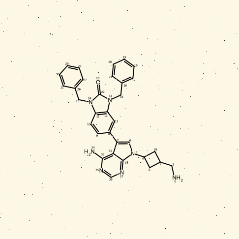 NCC1CC(n2cc(-c3ccc4c(c3)n(Cc3ccccc3)c(=O)n4Cc3ccccc3)c3c(N)ncnc32)C1